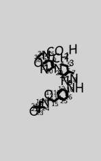 Cc1c(N2CCc3cnc(Nc4ccc(CC(=O)N5CC6(COC6)C5)cc4)nc3C2)cnc2c1N(C(=O)O)CCO2